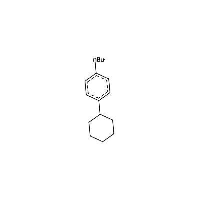 [CH2]CC[CH]c1ccc(C2CCCCC2)cc1